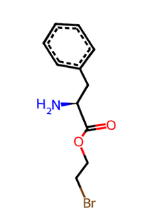 N[C@@H](Cc1ccccc1)C(=O)OCCBr